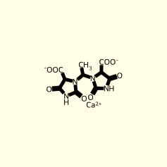 CC(N1C(=O)NC(=O)C1C(=O)[O-])N1C(=O)NC(=O)C1C(=O)[O-].[Ca+2]